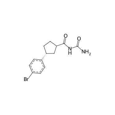 NC(=O)NC(=O)C1CC[C@@H](c2ccc(Br)cc2)C1